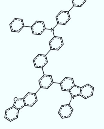 c1ccc(-c2ccc(N(c3ccc(-c4ccccc4)cc3)c3cccc(-c4cccc(-c5cc(-c6ccc7c(c6)oc6ccccc67)cc(-c6ccc7c8ccccc8n(-c8ccccc8)c7c6)c5)c4)c3)cc2)cc1